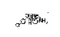 N[C@H]1CCCN(P(N)(=O)NC(=O)c2ccc(Cl)cc2)C1=O